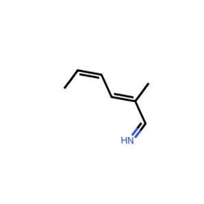 C/C=C\C=C(/C)C=N